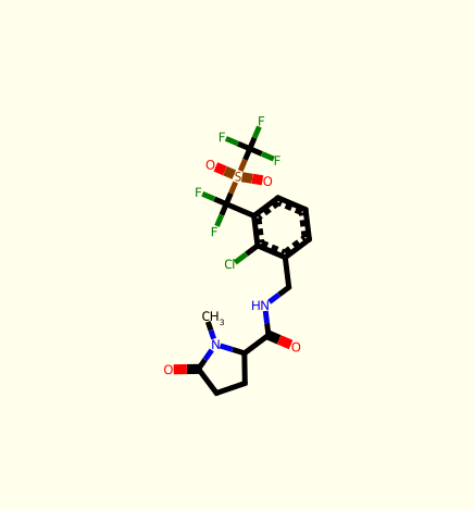 CN1C(=O)CCC1C(=O)NCc1cccc(C(F)(F)S(=O)(=O)C(F)(F)F)c1Cl